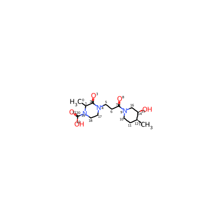 CC1C(=O)N(CCC(=O)N2CC[C@H](C)[C@H](O)C2)CCN1C(=O)O